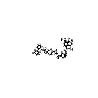 O=C1CCc2c([C@H](O)CN[C@H]3CC[C@@H](C(=O)NCCN4CCC(OC(=O)Nc5ccccc5-c5ccccc5)CC4)C3)ccc(O)c2N1